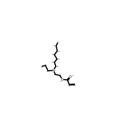 C=CC(=O)OCCN(CCC)CCCCCCC